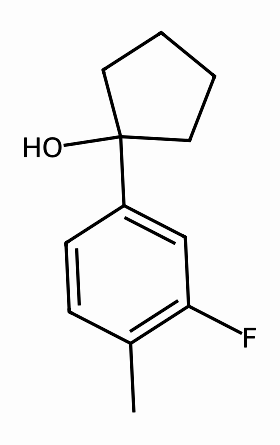 Cc1ccc(C2(O)CCCC2)cc1F